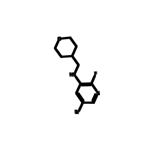 Fc1ncc(Br)cc1NCC1CCOCC1